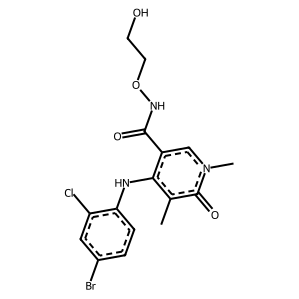 Cc1c(Nc2ccc(Br)cc2Cl)c(C(=O)NOCCO)cn(C)c1=O